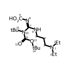 CCN(CC)CCCNC(=NC(=O)O)N(C(=O)OC(C)(C)C)C(C)(C)C